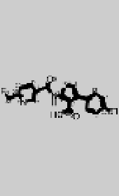 O=C(Nc1scc(-c2ccc(Cl)cc2)c1C(=O)O)c1ccc(CF)nc1